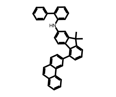 CC1(C)c2cc(Nc3ccccc3-c3ccccc3)ccc2-c2c(-c3ccc4ccc5ccccc5c4c3)cccc21